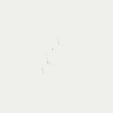 C=CC(=O)NC(O)(O)C(C)C